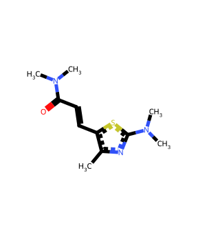 Cc1nc(N(C)C)sc1C=CC(=O)N(C)C